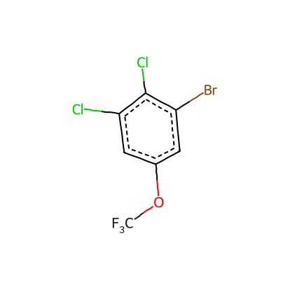 FC(F)(F)Oc1cc(Cl)c(Cl)c(Br)c1